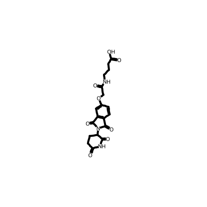 O=C(O)CCCNC(=O)COc1ccc2c(c1)C(=O)N(C1CCC(=O)NC1=O)C2=O